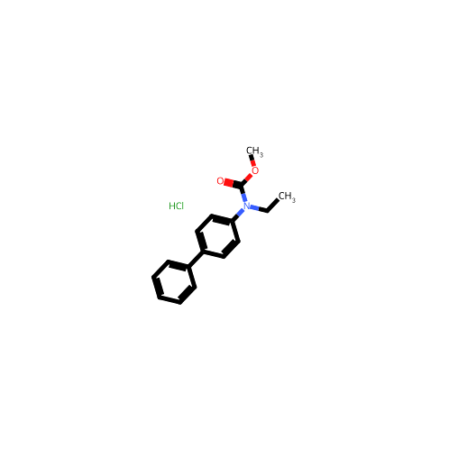 CCN(C(=O)OC)c1ccc(-c2ccccc2)cc1.Cl